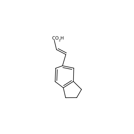 O=C(O)/C=C/c1ccc2c(c1)CCC2